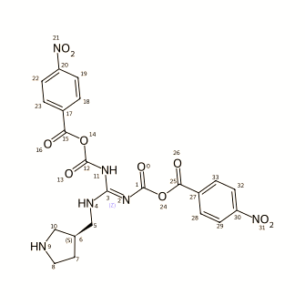 O=C(/N=C(/NC[C@H]1CCNC1)NC(=O)OC(=O)c1ccc([N+](=O)[O-])cc1)OC(=O)c1ccc([N+](=O)[O-])cc1